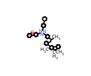 CCC(Cc1ccccc1-c1cc2c(cc1C)C(C)(C)c1ccccc1-2)c1ccc(-c2nc(-c3ccc(C4C=CC=CC4)cc3)nc(-c3ccc4c(c3)oc3ccccc34)n2)cc1